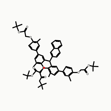 Cc1cc(-c2cc(C)c(OCC(=O)CC(C)(C)C)c(C(c3ccc4ccccc4c3)c3cc(-c4ccc(OCC(=O)OC(C)(C)C)c(C)c4)cc(C)c3OCC(=O)OC(C)(C)C)c2)ccc1OCC(=O)OC(C)(C)C